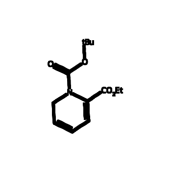 CCOC(=O)C1=CC=CCN1C(=O)OC(C)(C)C